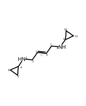 C(=C\CNC1CC1)/CNC1CC1